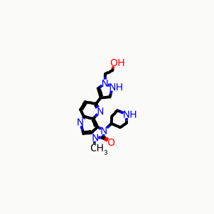 Cn1c(=O)n(C2CCNCC2)c2c3nc(C4=CN(CCO)NC4)ccc3ncc21